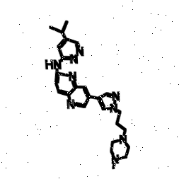 CC(C)c1cnnc(Nc2ccc3ncc(-c4cnn(CCCN5CCN(C)CC5)c4)cc3n2)c1